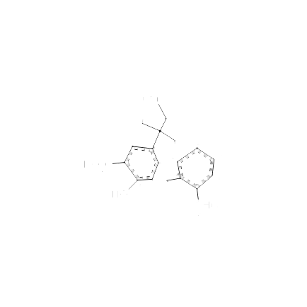 CC(C)(C)CC(C)(C)c1ccc(O)c(C(=O)O)c1.Cc1ccccc1C=O